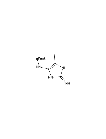 CCCCCNc1[nH]c(=N)[nH]c1C